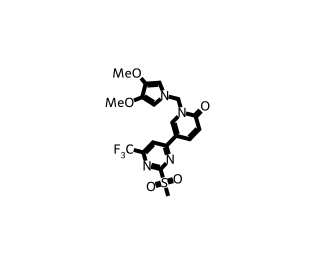 COc1cn(Cn2cc(-c3cc(C(F)(F)F)nc(S(C)(=O)=O)n3)ccc2=O)cc1OC